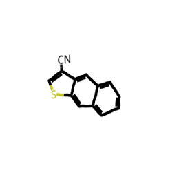 N#Cc1csc2cc3ccccc3cc12